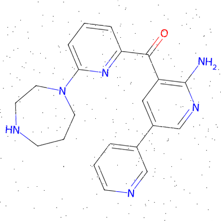 Nc1ncc(-c2cccnc2)cc1C(=O)c1cccc(N2CCCNCC2)n1